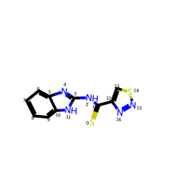 S=C(Nc1nc2ccccc2[nH]1)c1csnn1